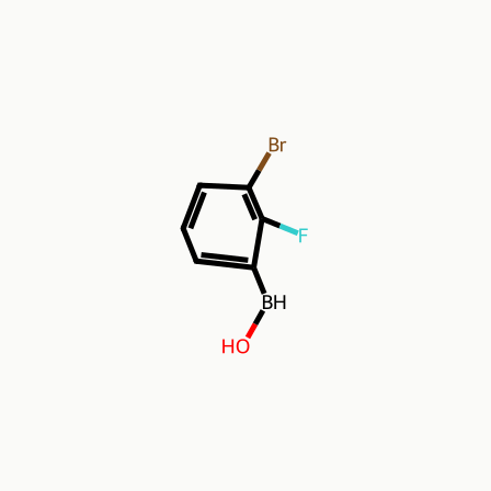 OBc1cccc(Br)c1F